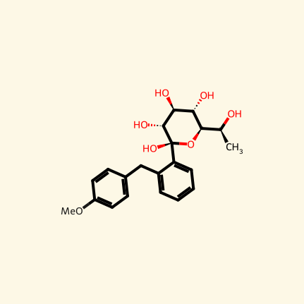 COc1ccc(Cc2ccccc2[C@@]2(O)O[C@H]([C@H](C)O)[C@@H](O)[C@H](O)[C@H]2O)cc1